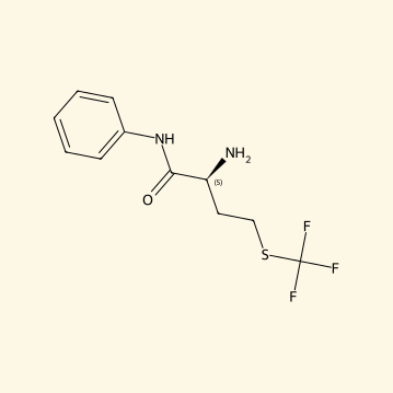 N[C@@H](CCSC(F)(F)F)C(=O)Nc1ccccc1